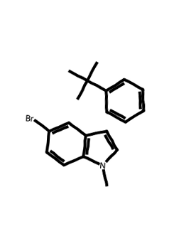 CC(C)(C)c1ccccc1.Cn1ccc2cc(Br)ccc21